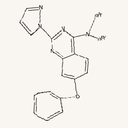 CCCN(CCC)c1nc(-n2cccn2)nc2cc(Oc3ccccc3)ccc12